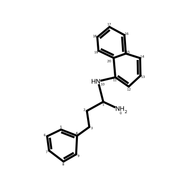 NC(CCc1ccccc1)Nc1cccc2ccccc12